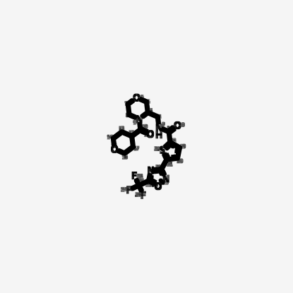 O=C(NCC1COCCN1C(=O)C1CCOCC1)c1ccc(-c2noc(C(F)(F)F)n2)s1